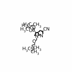 CC1(C)OB(c2cn(COCC[Si](C)(C)C)c3ncc(C#N)cc23)OC1(C)C